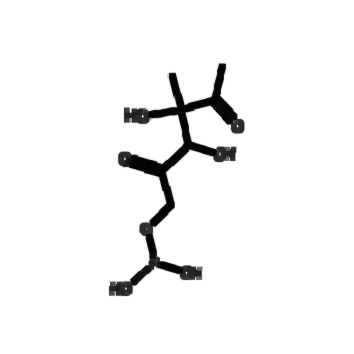 CC(=O)C(C)(O)C(O)C(=O)COP(O)O